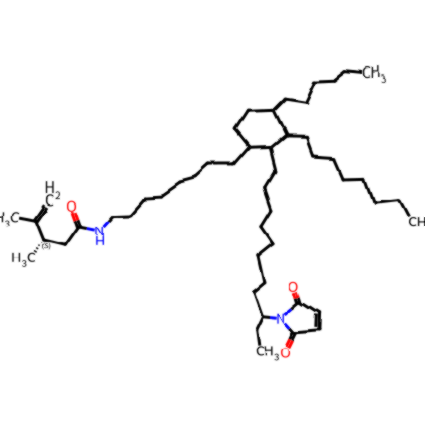 C=C(C)[C@@H](C)CC(=O)NCCCCCCCCC1CCC(CCCCCC)C(CCCCCCCC)C1CCCCCCCCC(CC)N1C(=O)C=CC1=O